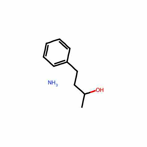 CC(O)CCc1ccccc1.N